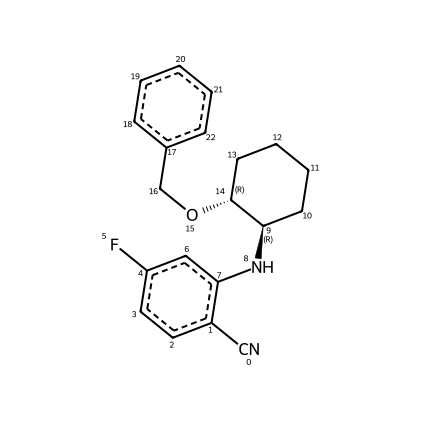 N#Cc1ccc(F)cc1N[C@@H]1CCCC[C@H]1OCc1ccccc1